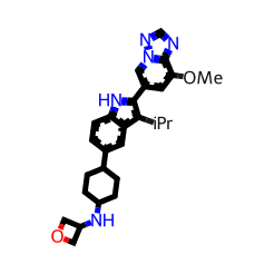 COc1cc(-c2[nH]c3ccc(C4CCC(NC5COC5)CC4)cc3c2C(C)C)cn2ncnc12